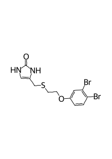 O=c1[nH]cc(CSCCOc2ccc(Br)c(Br)c2)[nH]1